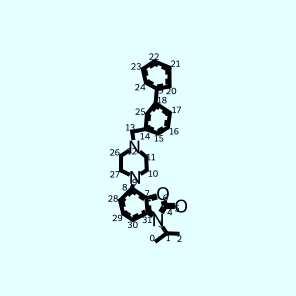 CC(C)n1c(=O)oc2c(N3CCN(Cc4cccc(-c5ccccc5)c4)CC3)cccc21